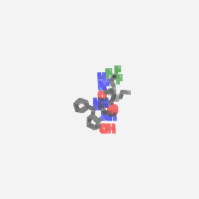 CCC[C@H](C(=O)N[C@H]1N=C(c2ccccc2)c2cccc(O)c2NC1=O)[C@@H](CCC(F)(F)F)C(N)=O